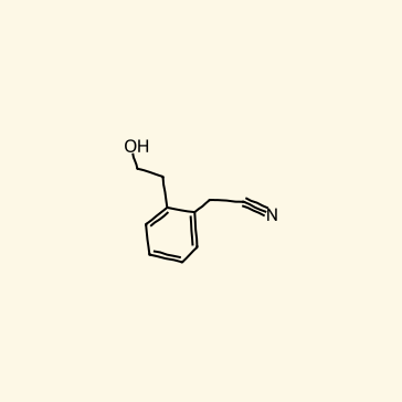 N#CCc1ccccc1CCO